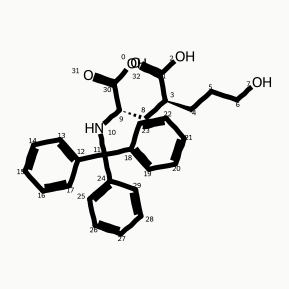 O=C(O)[C@@H](CCCO)C[C@H](NC(c1ccccc1)(c1ccccc1)c1ccccc1)C(=O)O